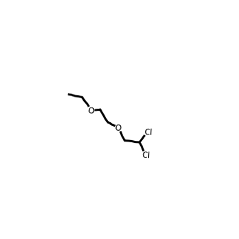 CCOCCOCC(Cl)Cl